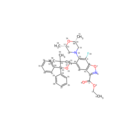 CCOC(=O)c1noc2c(F)c(N3C[C@@H](C)O[C@@H](C)C3)c(CO[Si](c3ccccc3)(c3ccccc3)C(C)(C)C)cc12